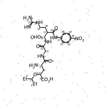 CCC(CC)OC(C[C@H](N)C(=O)NCC(=O)N[C@H](C=O)C(CCNC(=N)N)C(=O)Nc1ccc([N+](=O)[O-])cc1)C(=O)O